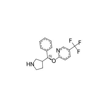 FC(F)(F)c1ccc(O[C@H](c2ccccc2)C2CCNC2)nc1